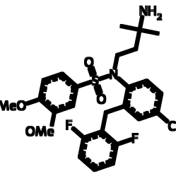 COc1ccc(S(=O)(=O)N(CCC(C)(C)N)c2ccc(Cl)cc2Cc2c(F)cccc2F)cc1OC